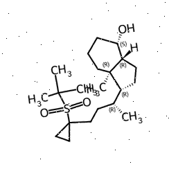 C[C@H](CCC1(S(=O)(=O)C(C)(C)C)CC1)[C@H]1CC[C@H]2[C@@H](O)CCC[C@]12C